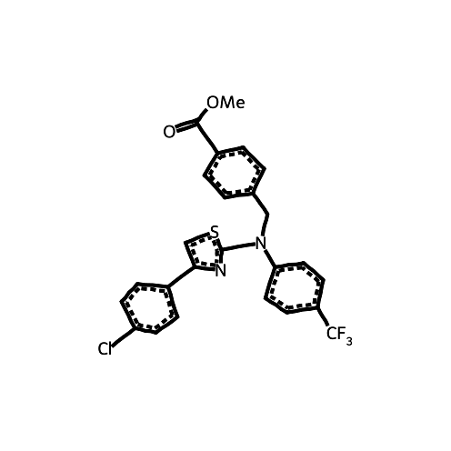 COC(=O)c1ccc(CN(c2ccc(C(F)(F)F)cc2)c2nc(-c3ccc(Cl)cc3)cs2)cc1